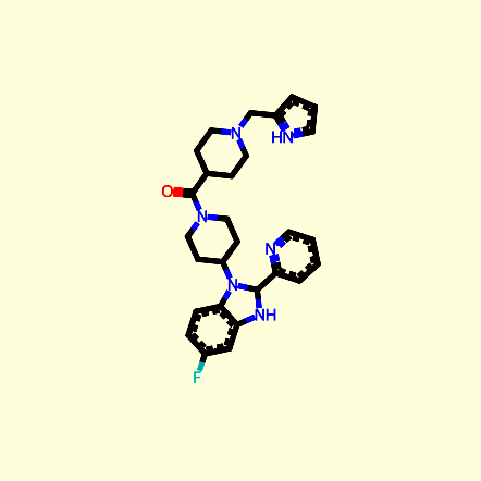 O=C(C1CCN(Cc2ccc[nH]2)CC1)N1CCC(N2c3ccc(F)cc3NC2c2ccccn2)CC1